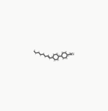 CCCCCCC=CC1CCC(C2CCC(C#N)CC2)CC1